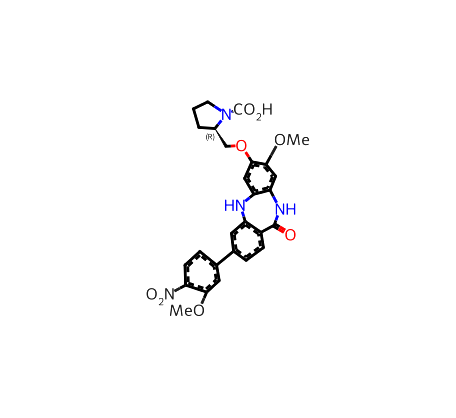 COc1cc2c(cc1OC[C@H]1CCCN1C(=O)O)Nc1cc(-c3ccc([N+](=O)[O-])c(OC)c3)ccc1C(=O)N2